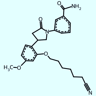 COc1ccc(C2CC(=O)N(c3cccc(C(N)=O)c3)C2)c(OCCCCCCC#N)c1